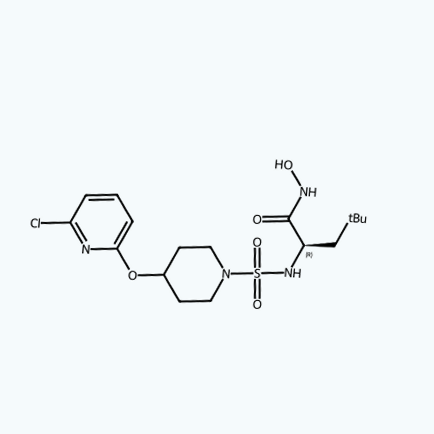 CC(C)(C)C[C@@H](NS(=O)(=O)N1CCC(Oc2cccc(Cl)n2)CC1)C(=O)NO